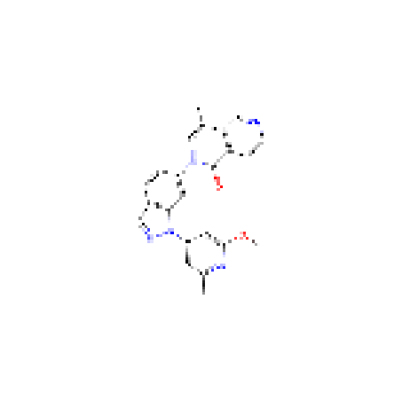 C=C(C)c1cnccc1C(=O)Nc1ccc2cnn(-c3cc(C)nc(OC)c3)c2c1